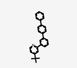 CC(C)(C)c1ccnc(-c2cccc(-c3ccc(-c4ccccc4)cc3)c2)c1